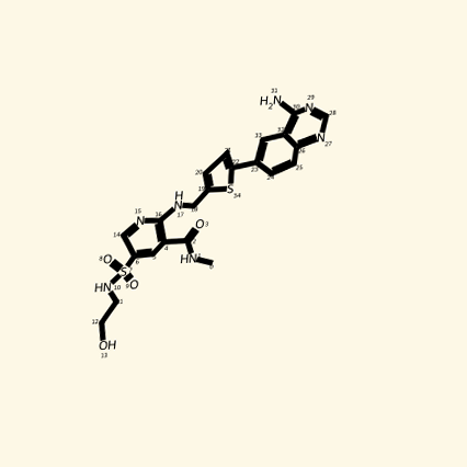 CNC(=O)c1cc(S(=O)(=O)NCCO)cnc1NCc1ccc(-c2ccc3ncnc(N)c3c2)s1